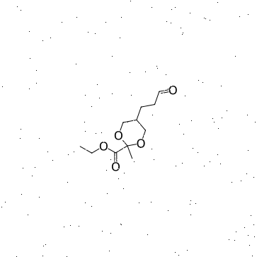 CCOC(=O)C1(C)OCC(CCC=O)CO1